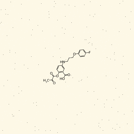 CC(=O)C(=O)Oc1ccc(NCCCOc2ccc(F)cc2)cc1C(=O)O